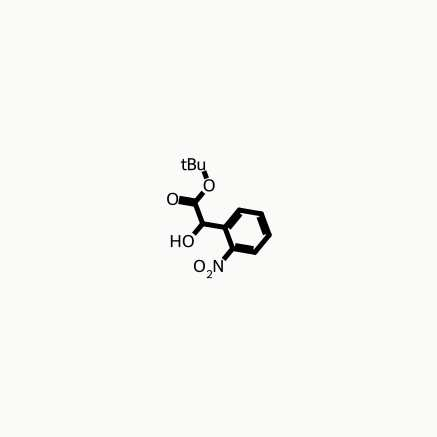 CC(C)(C)OC(=O)C(O)c1ccccc1[N+](=O)[O-]